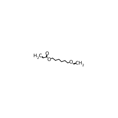 C=COCCCCCCOC(=O)C=C